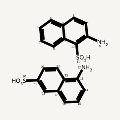 Nc1ccc2ccccc2c1S(=O)(=O)O.Nc1cccc2cc(S(=O)(=O)O)ccc12